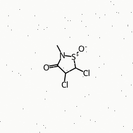 CN1C(=O)C(Cl)C(Cl)[S+]1[O-]